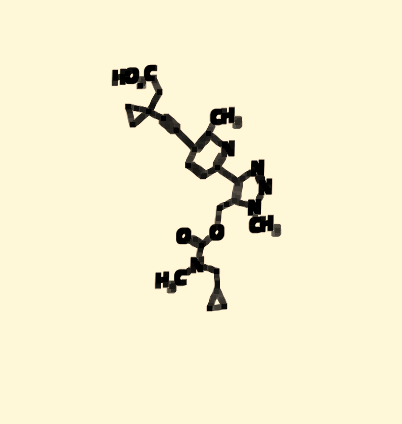 Cc1nc(-c2nnn(C)c2COC(=O)N(C)CC2CC2)ccc1C#CC1(CC(=O)O)CC1